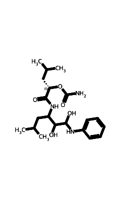 CC(C)CC(NC(=O)[C@H](CC(C)C)OC(N)=O)C(O)C(O)Nc1ccccc1